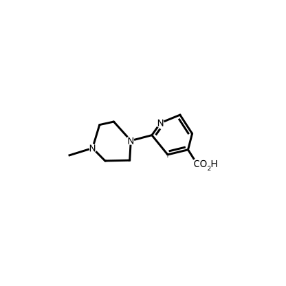 CN1CCN(c2[c]c(C(=O)O)ccn2)CC1